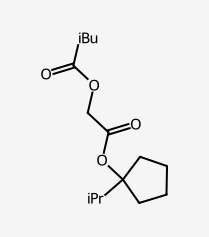 CCC(C)C(=O)OCC(=O)OC1(C(C)C)CCCC1